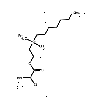 CCCCCCCCCCCCCCCC[N+](C)(C)CCOC(=O)C(CC)CCCC.[Br-]